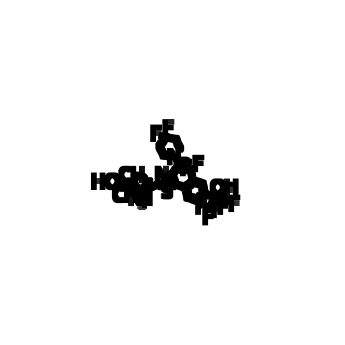 CC(C)(O)c1nnc(-c2nc(C(=O)N3CCC(F)(F)CC3)c(-c3ccc(C(O)(C(F)(F)F)C(F)(F)F)cc3C(F)F)s2)o1